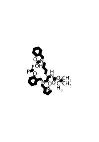 CC(C)(C)OC(=O)N[C@@H](CCCCN(Cc1ccccc1)C(=O)O)C(=O)N(Cc1cccs1)Cc1ccccc1OC(F)F